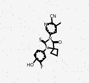 Cc1cc(N2C(=O)C3(CCC3)N(c3ccc(O)c(F)c3)C2=S)cnc1C#N